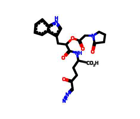 [N-]=[N+]=CC(=O)CCC(NC(=O)C(Cc1c[nH]c2ccccc12)OC(=O)CN1CCCC1=O)C(=O)O